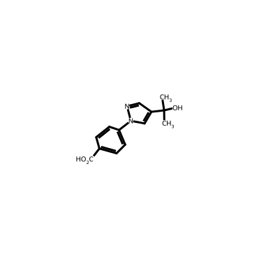 CC(C)(O)c1cnn(-c2ccc(C(=O)O)cc2)c1